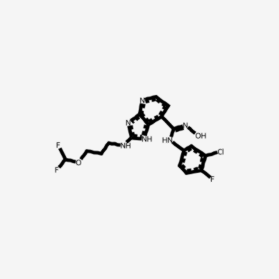 O/N=C(\Nc1ccc(F)c(Cl)c1)c1ccnc2nc(NCCCOC(F)F)[nH]c12